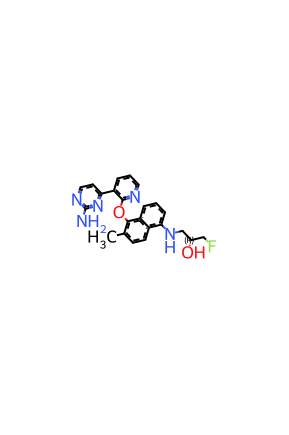 Cc1ccc2c(NC[C@@H](O)CF)cccc2c1Oc1ncccc1-c1ccnc(N)n1